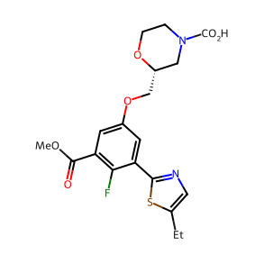 CCc1cnc(-c2cc(OC[C@H]3CN(C(=O)O)CCO3)cc(C(=O)OC)c2F)s1